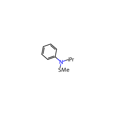 CSN(c1ccccc1)C(C)C